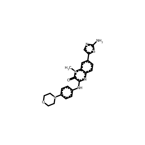 Cn1c(=O)c(Nc2ccc(N3CCOCC3)cc2)nc2ccc(-c3cnc(N)s3)cc21